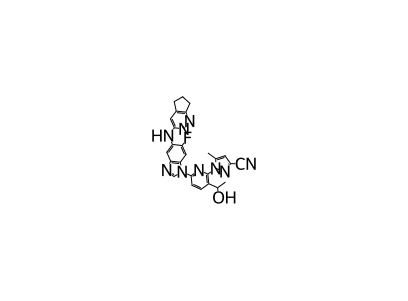 Cc1cc(C#N)nn1-c1nc(-n2cnc3cc(Nc4cc5c(nn4)CCC5)c(F)cc32)ccc1C(C)O